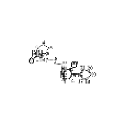 O=C1CC2CCC(CCCCn3nccc(-c4ccccc4)c3=O)(C1)N2